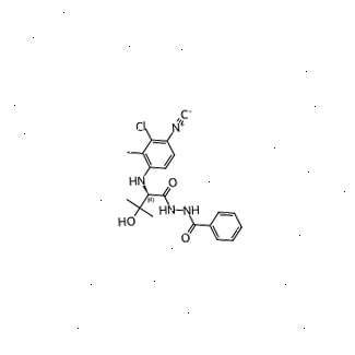 [C-]#[N+]c1ccc(N[C@@H](C(=O)NNC(=O)c2ccccc2)C(C)(C)O)c(C)c1Cl